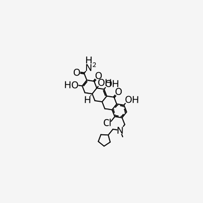 CN(Cc1cc(O)c2c(c1Cl)CC1C[C@H]3CC(O)=C(C(N)=O)C(=O)C3(O)C(O)=C1C2=O)CC1CCCC1